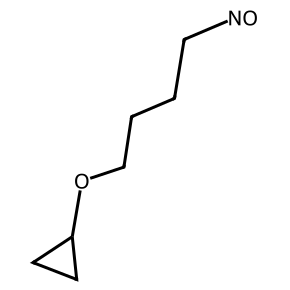 O=NCCCCOC1CC1